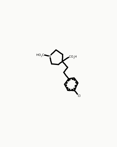 O=C(O)N1CCC(CCc2ccc(Cl)cc2)(C(=O)O)CC1